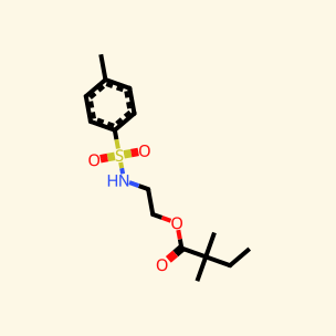 CCC(C)(C)C(=O)OCCNS(=O)(=O)c1ccc(C)cc1